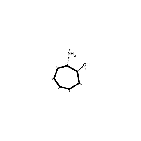 N[C@H]1CCCCC[C@H]1O